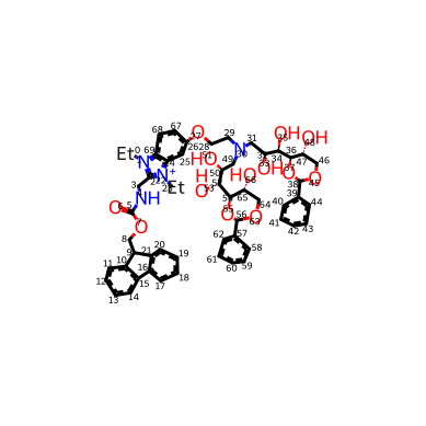 CCn1c(CNC(=O)OCC2c3ccccc3-c3ccccc32)[n+](CC)c2cc(OCCN(C[C@H](O)[C@@H](O)[C@@H]3OC(c4ccccc4)OC[C@H]3O)C[C@H](O)[C@@H](O)[C@@H]3OC(c4ccccc4)OC[C@H]3O)ccc21